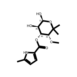 CO[C@@H]1[C@H](OC(=O)c2ccc(C)[nH]2)[C@@H](O)[C@@H](O)OC1(C)C